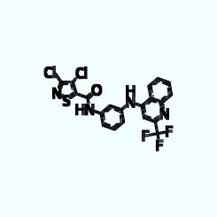 O=C(Nc1cccc(Nc2cc(C(F)(F)F)nc3ccccc23)c1)c1snc(Cl)c1Cl